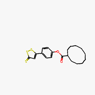 O=C(Oc1ccc(-c2cc(=S)ss2)cc1)C1CCCCCCCCC1